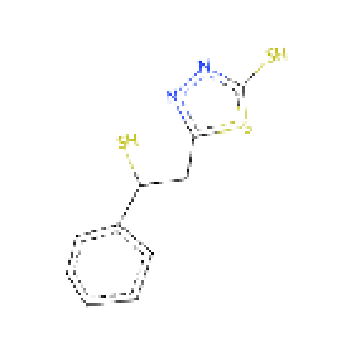 Sc1nnc(CC(S)c2ccccc2)s1